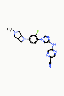 CN1CC2CN(c3ccc(-n4cnc(Nc5cnc(C#N)cn5)c4)c(F)c3)C2C1